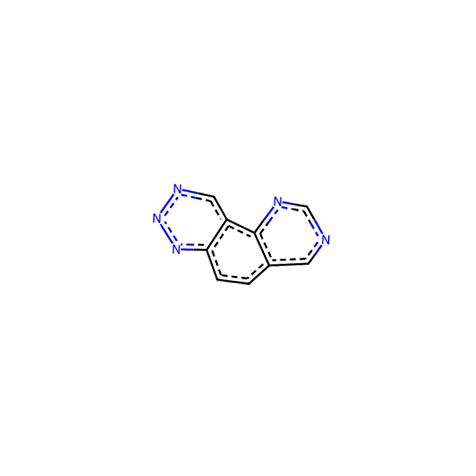 c1ncc2ccc3nnncc3c2n1